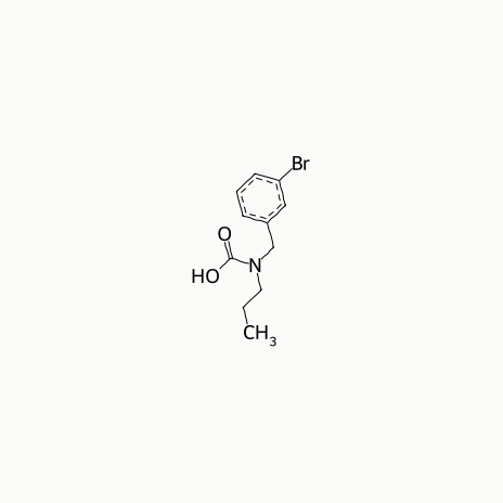 CCCN(Cc1cccc(Br)c1)C(=O)O